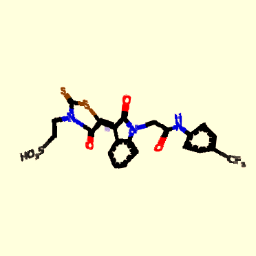 O=C(CN1C(=O)/C(=C2\SC(=S)N(CCS(=O)(=O)O)C2=O)c2ccccc21)Nc1ccc(C(F)(F)F)cc1